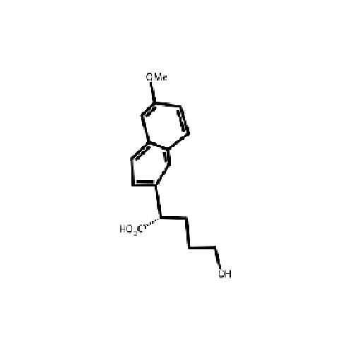 COc1ccc2cc([C@H](CCCO)C(=O)O)ccc2c1